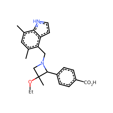 CCOC1(C)CN(Cc2c(C)cc(C)c3[nH]ccc23)C1c1ccc(C(=O)O)cc1